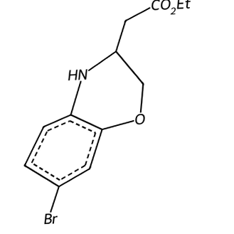 CCOC(=O)CC1COc2cc(Br)ccc2N1